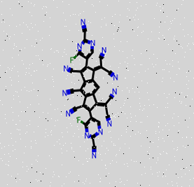 N#CC(C#N)=C1C(c2cnc(C#N)nc2F)=C(C#N)c2c1cc1c(c2C#N)C(C#N)=C(c2cnc(C#N)nc2F)C1=C(C#N)C#N